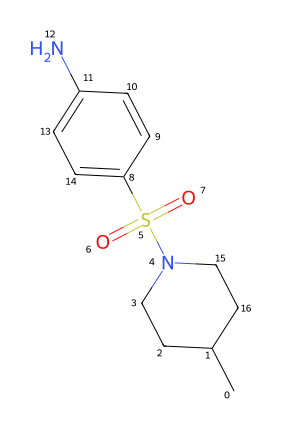 CC1CCN(S(=O)(=O)c2ccc(N)cc2)CC1